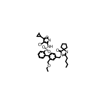 CCCCC1=NC2(CCCC2)C(=O)N1Cc1ccc(-c2ccccc2S(=O)(=O)Nc2noc(C3CC3)c2Cl)c(COCC)c1